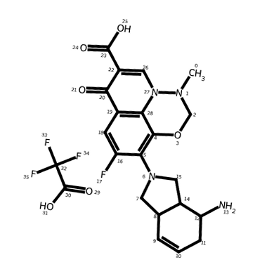 CN1COc2c(N3CC4C=CCC(N)C4C3)c(F)cc3c(=O)c(C(=O)O)cn1c23.O=C(O)C(F)(F)F